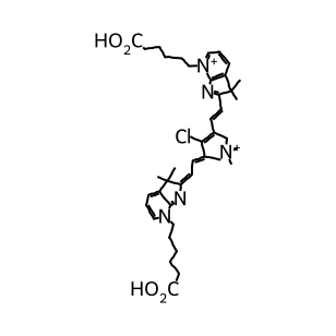 CC1(C)C2=CC=CN(CCCCCC(=O)O)C2=N/C1=C/C=C1\C[N+](C)(C)CC(/C=C/C2=Nc3c(ccc[n+]3CCCCCC(=O)O)C2(C)C)=C1Cl